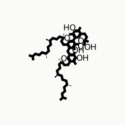 Cc1c(O)c(C)c(Cc2c(O)c(C)c(-c3c(C)c(O)c(C)c4c3OC(C)(C(=O)O)CC4)c3c2CC[C@@](C)(CCC[C@H](C)CCC[C@H](C)CCCC(C)C)O3)c2c1CC[C@@](C)(CCC[C@H](C)CCC[C@H](C)CCCC(C)C)O2